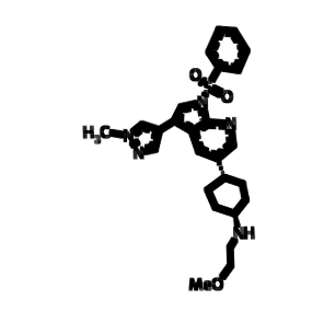 COCCN[C@H]1CC[C@H](c2cnc3c(c2)c(-c2cnn(C)c2)cn3S(=O)(=O)c2ccccc2)CC1